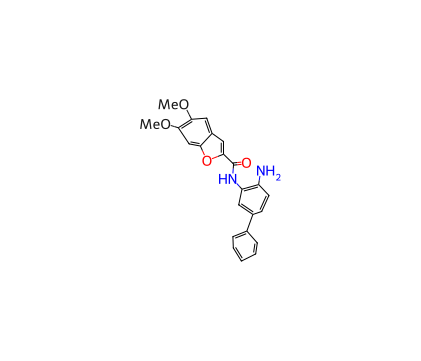 COc1cc2cc(C(=O)Nc3cc(-c4ccccc4)ccc3N)oc2cc1OC